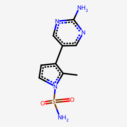 Cc1c(-c2cnc(N)nc2)ccn1S(N)(=O)=O